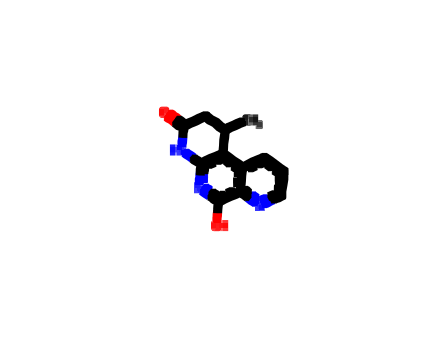 CC1CC(=O)Nc2nc(O)c3ncccc3c21